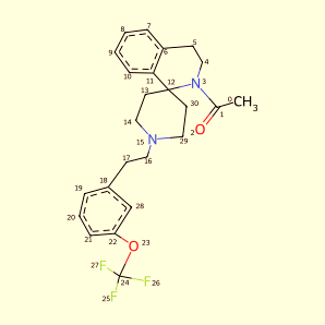 CC(=O)N1CCc2ccccc2C12CCN(CCc1cccc(OC(F)(F)F)c1)CC2